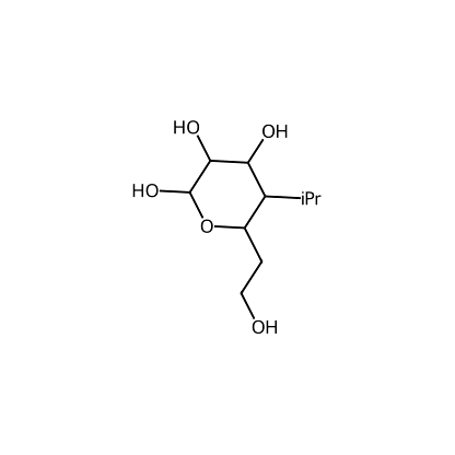 CC(C)C1C(CCO)OC(O)C(O)C1O